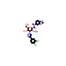 CO[C@@H]1[C@@H](n2cc(-c3ccc(Cl)c(Cl)c3)nn2)[C@@H](O)[C@@H](CO)O[C@H]1C(=O)N(C)c1ccc2ncsc2c1